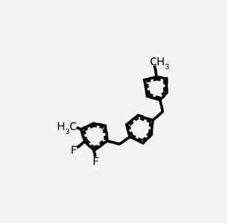 Cc1ccc(Cc2ccc(Cc3ccc(C)c(F)c3F)cc2)cc1